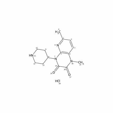 Cc1ccc2c(n1)n(C1CCNCC1)c(=O)c(=O)n2C.Cl